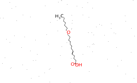 CCCCCCCOCCCCCCC/C=C/CCCC(=O)O